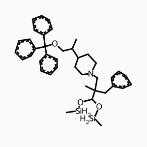 C[SiH2]OC(O[SiH2]C)C(C)(Cc1ccccc1)CN1CCC(C(C)COC(c2ccccc2)(c2ccccc2)c2ccccc2)CC1